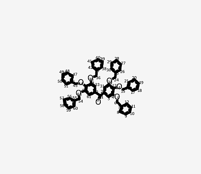 O=C(c1cc(OCc2ccccc2)c(OCc2ccccc2)c(OCc2ccccc2)c1)c1cc(OCc2ccccc2)c(OCc2ccccc2)c(OCc2ccccc2)c1